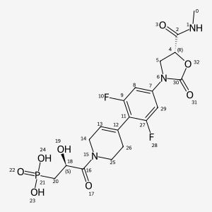 CNC(=O)[C@H]1CN(c2cc(F)c(C3=CCN(C(=O)[C@H](O)CP(=O)(O)O)CC3)c(F)c2)C(=O)O1